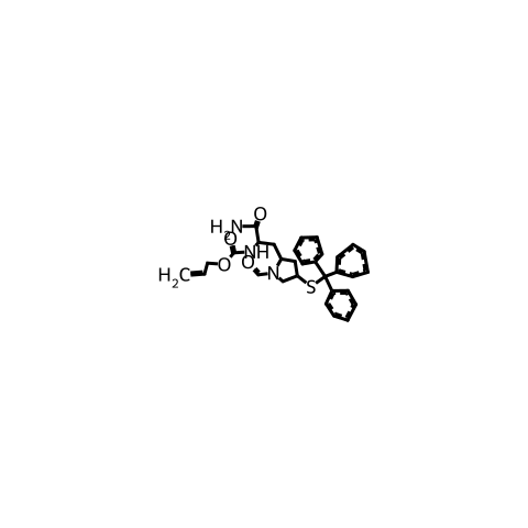 C=CCOC(=O)NC(CC1CC(SC(c2ccccc2)(c2ccccc2)c2ccccc2)CN1C=O)C(N)=O